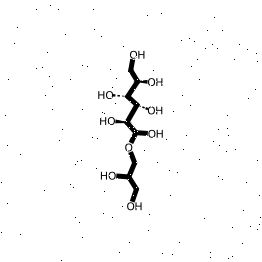 OCC(O)COC(O)[C@@H](O)[C@@H](O)[C@H](O)[C@H](O)CO